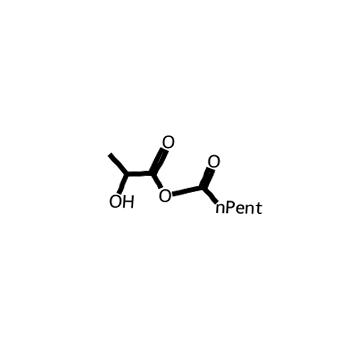 CCCCCC(=O)OC(=O)C(C)O